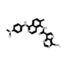 Cc1ccc2c(Nc3ccc([S+](C)[O-])cc3)nccc2c1NC(=O)c1csc2c(N)ncnc12